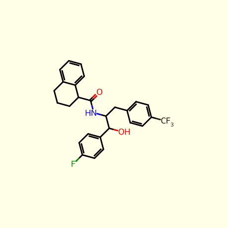 O=C(NC(Cc1ccc(C(F)(F)F)cc1)C(O)c1ccc(F)cc1)C1CCCc2ccccc21